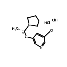 C[C@@H](Oc1cncc(Cl)c1)N1CCCC1.Cl.Cl